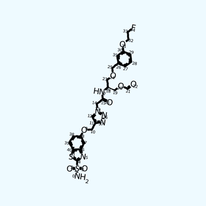 NS(=O)(=O)c1nc2cc(OCc3cn(CC(=O)N[C@H](COC=O)COCc4cccc(OCCF)c4)nn3)ccc2s1